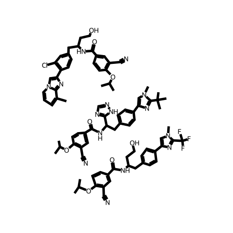 CC(C)Oc1ccc(C(=O)NC(CCO)Cc2ccc(-c3cn(C)c(C(F)(F)F)n3)cc2)cc1C#N.CC(C)Oc1ccc(C(=O)NC(Cc2ccc(-c3cn(C)c(C(C)(C)C)n3)cc2)c2ncn[nH]2)cc1C#N.Cc1cccn2cc(-c3ccc(CC(CCO)NC(=O)c4ccc(OC(C)C)c(C#N)c4)cc3Cl)nc12